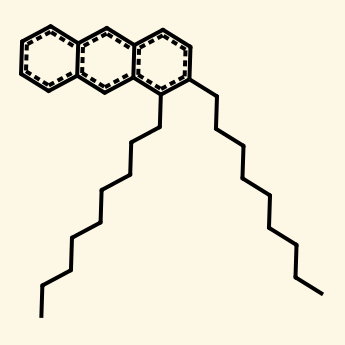 CCCCCCCCCc1ccc2cc3ccccc3cc2c1CCCCCCCCC